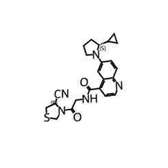 N#C[C@@H]1CSCN1C(=O)CNC(=O)c1ccnc2ccc(N3CCC[C@H]3C3CC3)cc12